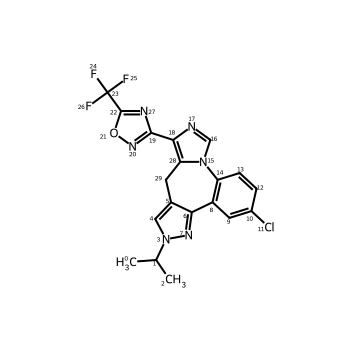 CC(C)n1cc2c(n1)-c1cc(Cl)ccc1-n1cnc(-c3noc(C(F)(F)F)n3)c1C2